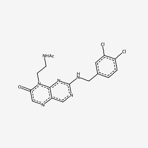 CC(=O)NCCn1c(=O)cnc2cnc(NCc3ccc(Cl)c(Cl)c3)nc21